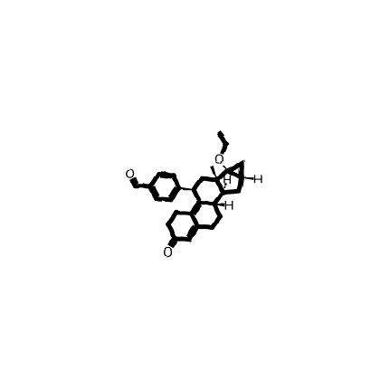 CCO[C@]12C[C@@H]1C[C@H]1[C@@H]3CCC4=CC(=O)CCC4=C3[C@@H](c3ccc(C=O)cc3)C[C@@]12C